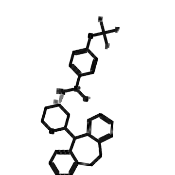 [O-][S+](N[C@H]1CCOC(C2c3ccccc3CCc3ccccc32)C1)c1ccc(OC(F)(F)F)cc1